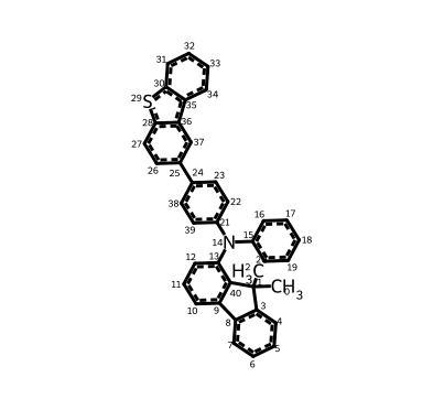 CC1(C)c2ccccc2-c2cccc(N(c3ccccc3)c3ccc(-c4ccc5sc6ccccc6c5c4)cc3)c21